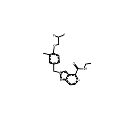 CCNC(=O)c1nccc2nn(Cc3ccc(OCC(F)F)c(C)c3)cc12